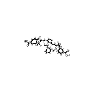 CN(C1=C(C=CC2=[N+](C)c3ccc(C(=O)O)cc3C2(C)C)CCC1=CC=C1N(C)c2ccc(C(=O)O)cc2C1(C)C)c1ccccc1